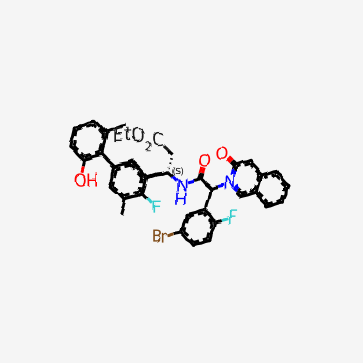 CCOC(=O)C[C@H](NC(=O)C(c1cc(Br)ccc1F)n1cc2ccccc2cc1=O)c1cc(-c2c(C)cccc2O)cc(C)c1F